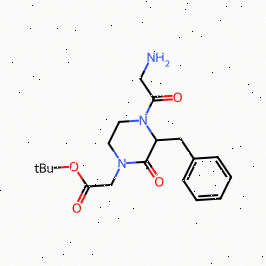 CC(C)(C)OC(=O)CN1CCN(C(=O)CN)C(Cc2ccccc2)C1=O